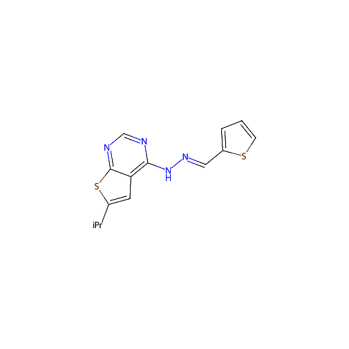 CC(C)c1cc2c(NN=Cc3cccs3)ncnc2s1